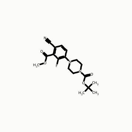 COC(=O)c1c(C#N)ccc(N2CCN(C(=O)OC(C)(C)C)CC2)c1F